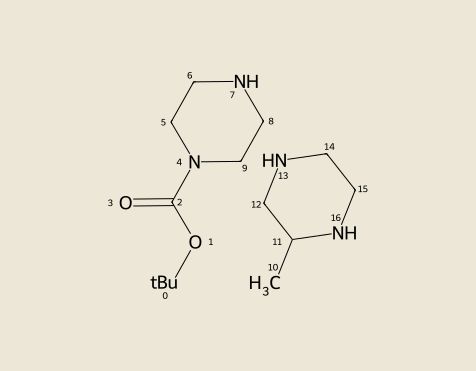 CC(C)(C)OC(=O)N1CCNCC1.CC1CNCCN1